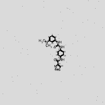 CN(C)c1cccc(NC(=S)Nc2ccc(NC(=O)c3csnn3)cc2)c1